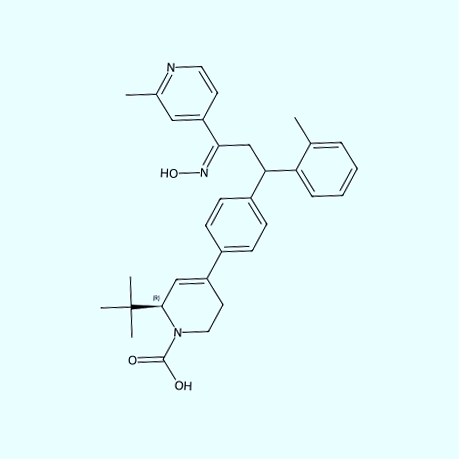 Cc1cc(C(CC(c2ccc(C3=C[C@H](C(C)(C)C)N(C(=O)O)CC3)cc2)c2ccccc2C)=NO)ccn1